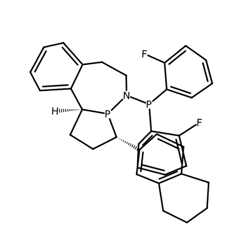 Fc1ccccc1P(c1ccccc1F)N1CCc2ccccc2[C@@H]2CC[C@@H](c3ccc4c(c3)CCCC4)P21